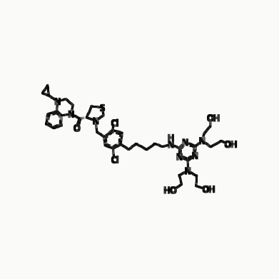 O=C([C@@H]1CSCN1Cc1cc(Cl)c(CCCCCNc2nc(N(CCO)CCO)nc(N(CCO)CCO)n2)cc1Cl)N1CCN(C2CC2)c2ccccc21